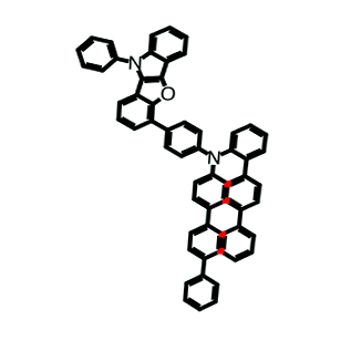 c1ccc(-c2ccc(-c3ccc(N(c4ccc(-c5cccc6c5oc5c7ccccc7n(-c7ccccc7)c65)cc4)c4ccccc4-c4ccc(-c5ccccc5)cc4)cc3)cc2)cc1